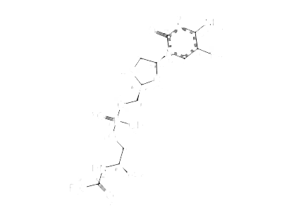 CCC[C@H](COP(=O)(O)OC[C@@H]1O[C@H](n2cc(F)c(N)nc2=O)CS1)NC(=O)C(F)(F)F